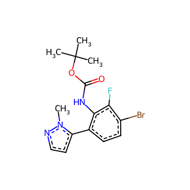 Cn1nccc1-c1ccc(Br)c(F)c1NC(=O)OC(C)(C)C